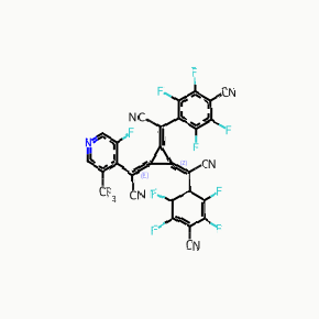 N#CC1=C(F)C(F)C(/C(C#N)=C2/C(=C(C#N)c3c(F)c(F)c(C#N)c(F)c3F)/C2=C(/C#N)c2c(F)cncc2C(F)(F)F)C(F)=C1F